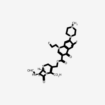 CN1CCN(c2cc3c(cc2F)c(=O)c(C(=O)OCC2=C(C(=O)O)N4C(=O)[C@@H](NC=O)[C@H]4SC2)cn3CCF)CC1